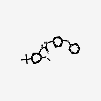 COc1ccc(C(C)(C)C)cc1NC(=O)Nc1ccc(Oc2ccccc2)cc1